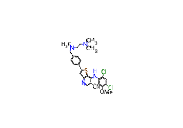 COc1cc(Nc2c(C#N)cnc3cc(-c4ccc(CN(C)CCN(C)C)cc4)sc23)c(Cl)cc1Cl